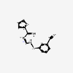 N#Cc1cccc(SN/C=N\C(=N)c2cccs2)c1